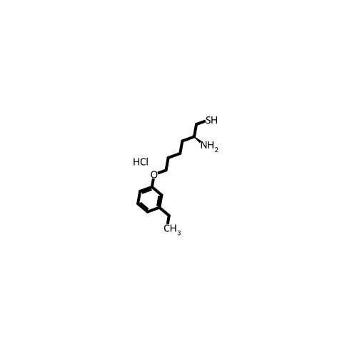 CCc1cccc(OCCCC[C@H](N)CS)c1.Cl